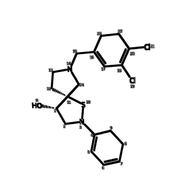 O[C@H]1CN(C2=CC=CCC2)S[C@@]12CCN(CC1=CC(Cl)=C(Cl)CC1)C2